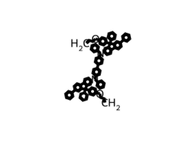 C=CCOc1ccc(C2(c3ccccc3)c3cc(-c4ccccc4)ccc3-c3ccc(N(c4ccccc4)c4ccc(-c5ccc(N(c6ccccc6)c6ccc7c(c6)C(c6ccc(OCC=C)cc6)(C6C=CC=CC6)c6cc(-c8ccccc8)ccc6-7)cc5)cc4)cc32)cc1